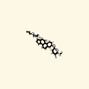 CCCO/N=C(\C)[C@H]1CCC2C3CC=C4C[C@@H](OC5C=C[C@H](C)[C@@H](CC)O5)CC[C@]4(C)C3CC[C@@]21C